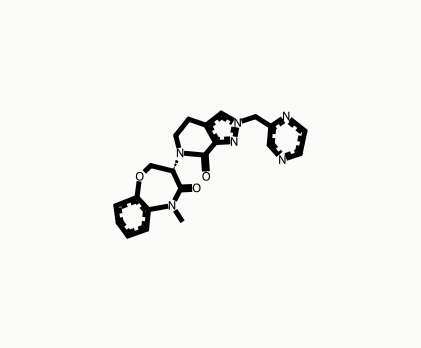 CN1C(=O)[C@@H](N2CCc3cn(Cc4cnccn4)nc3C2=O)COc2ccccc21